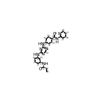 C=CC(=O)Nc1cccc(Nc2ncnc(Nc3ccc(C(=O)Nc4ccccn4)cc3)n2)c1